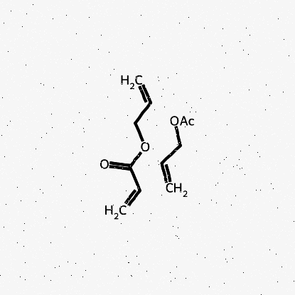 C=CCOC(=O)C=C.C=CCOC(C)=O